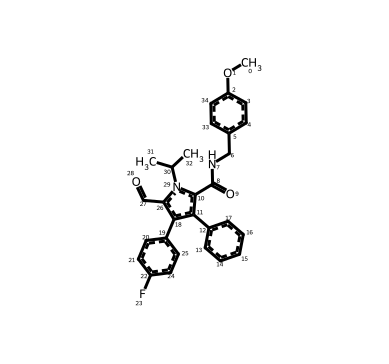 COc1ccc(CNC(=O)c2c(-c3ccccc3)c(-c3ccc(F)cc3)c(C=O)n2C(C)C)cc1